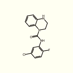 O=C(Nc1cc(Cl)ccc1F)N1CCNc2ccccc21